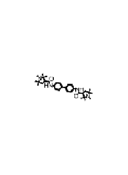 CN1C(C)(C)CC(C(=O)NC2CCC(C3CCC(NC(=O)C4CC(C)(C)N(C)C4(C)C)CC3)CC2)C1(C)C